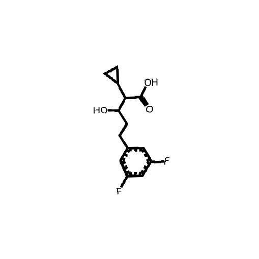 O=C(O)C(C(O)CCc1cc(F)cc(F)c1)C1CC1